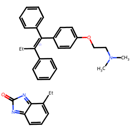 CC/C(=C(\c1ccccc1)c1ccc(OCCN(C)C)cc1)c1ccccc1.CCc1cccc2c1=NC(=O)N=2